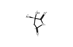 CC(=O)[C@]1(O)CC(=O)OC1=O